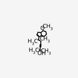 COC1CCC[C@]2(C)C(C(C)CC#CC(C)(C)O)=CCC12